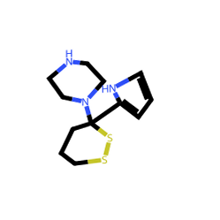 c1c[nH]c(C2(N3CCNCC3)CCCSS2)c1